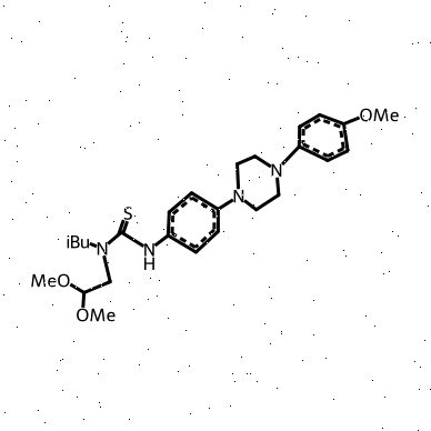 CCC(C)N(CC(OC)OC)C(=S)Nc1ccc(N2CCN(c3ccc(OC)cc3)CC2)cc1